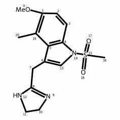 COc1ccc2c(c(CC3=NCCN3)cn2S(C)(=O)=O)c1C